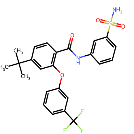 CC(C)(C)c1ccc(C(=O)Nc2cccc(S(N)(=O)=O)c2)c(Oc2cccc(C(F)(F)F)c2)c1